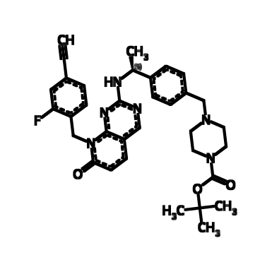 C#Cc1ccc(Cn2c(=O)ccc3cnc(N[C@@H](C)c4ccc(CN5CCN(C(=O)OC(C)(C)C)CC5)cc4)nc32)c(F)c1